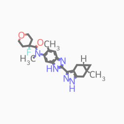 Cc1cc2nc(-c3n[nH]c4c3C[C@@H]3C[C@]3(C)C4)[nH]c2cc1N(C)C(=O)C1(F)CCOCC1